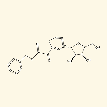 O=C(OCc1ccccc1)C(=O)C1=C[N+]([C@@H]2OC(CO)[C@@H](O)[C@H]2O)=C=CC1